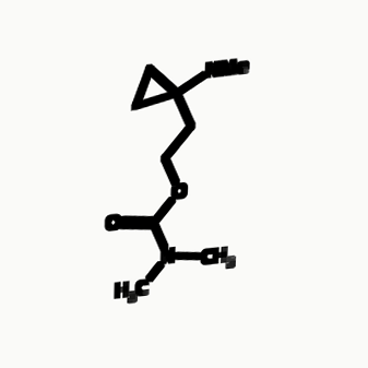 CNC1(CCOC(=O)N(C)C)CC1